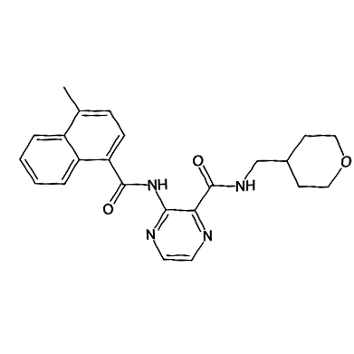 Cc1ccc(C(=O)Nc2nccnc2C(=O)NCC2CCOCC2)c2ccccc12